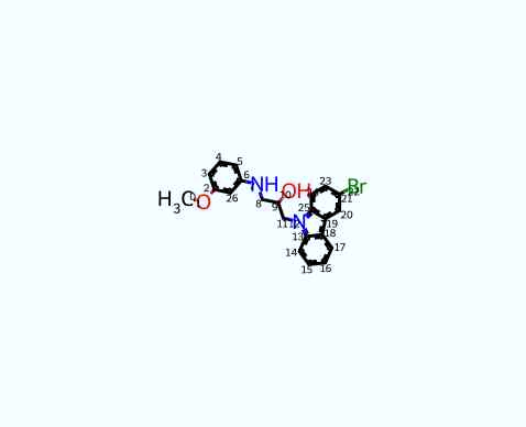 COc1cccc(NCC(O)Cn2c3ccccc3c3cc(Br)ccc32)c1